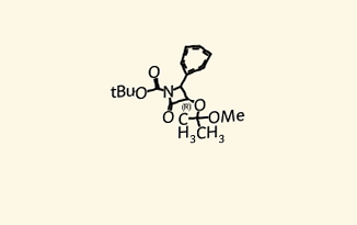 COC(C)(C)O[C@H]1C(=O)N(C(=O)OC(C)(C)C)C1c1ccccc1